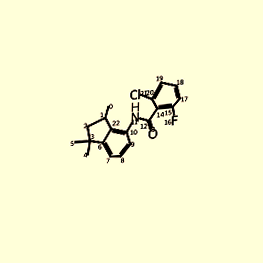 CC1CC(C)(C)c2cccc(NC(=O)c3c(F)cccc3Cl)c21